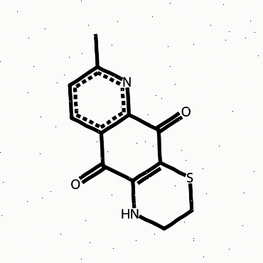 Cc1ccc2c(n1)C(=O)C1=C(NCCS1)C2=O